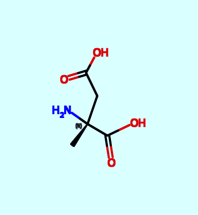 C[C@@](N)(CC(=O)O)C(=O)O